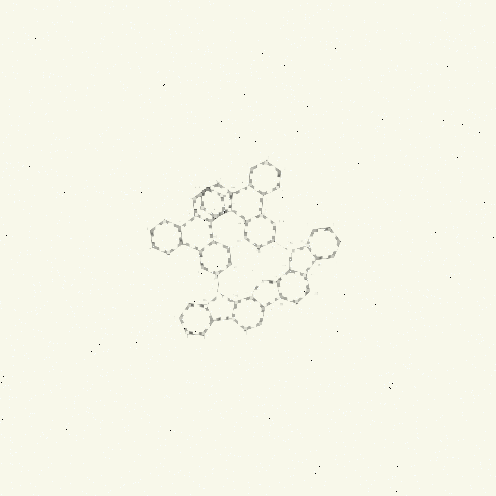 c1ccc2c(c1)c1ccccc1c1cc(-n3c4ccccc4c4ccc5c6ccc7c8ccccc8n(-c8ccc9c%10ccccc%10c%10ccccc%10c9c8)c7c6oc5c43)ccc21